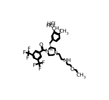 CCOCCNCCN1CCN(C(=O)c2cc(C(F)(F)F)cc(C(F)(F)F)c2)[C@H](Cc2ccc(C)c(C)c2)C1.Cl.Cl